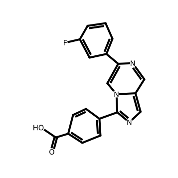 O=C(O)c1ccc(-c2ncc3cnc(-c4cccc(F)c4)cn23)cc1